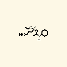 CCO[Si](C)(CCCO)OC(C)NC1CCCCC1